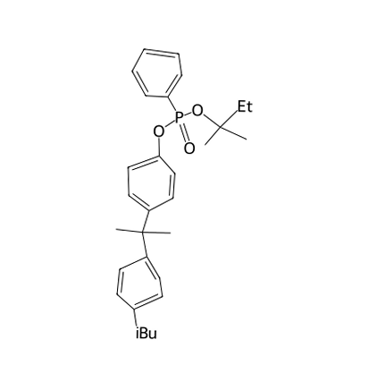 CCC(C)c1ccc(C(C)(C)c2ccc(OP(=O)(OC(C)(C)CC)c3ccccc3)cc2)cc1